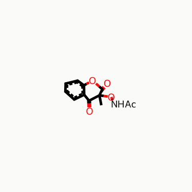 CC(=O)NOC1(C)C(=O)Oc2ccccc2C1=O